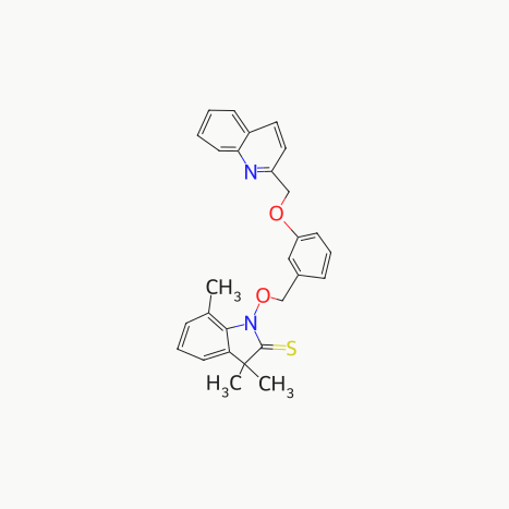 Cc1cccc2c1N(OCc1cccc(OCc3ccc4ccccc4n3)c1)C(=S)C2(C)C